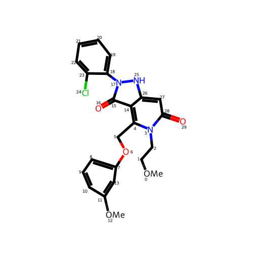 COCCn1c(COc2cccc(OC)c2)c2c(=O)n(-c3ccccc3Cl)[nH]c2cc1=O